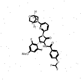 COc1cc(F)c([C@@H]2CN(c3cccc(N4C[C@H]5C[C@@H]4CO5)n3)C(=O)C2NC(=O)c2ccc(OC(F)F)cc2)c(F)c1